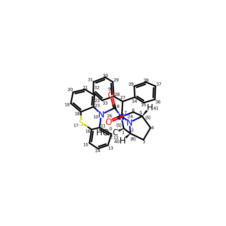 O=C(O)[C@@H]1[C@H]2CC[C@@H](CN1C(=O)N1c3ccccc3Sc3ccccc31)N2C(=O)C(c1ccccc1)c1ccccc1